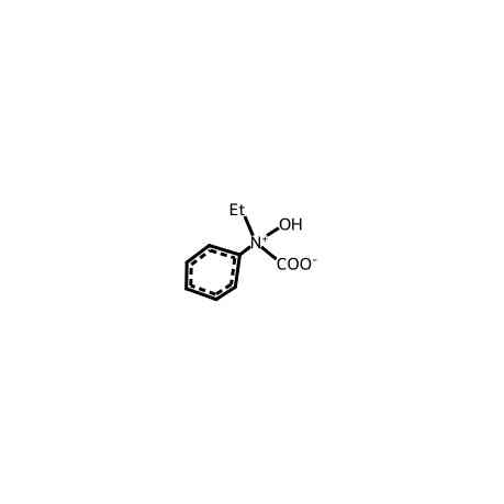 CC[N+](O)(C(=O)[O-])c1ccccc1